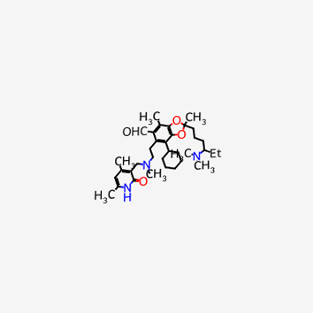 CCC(CCCC1(C)Oc2c(C)c(C=O)c(CCN(C)Cc3c(C)cc(C)[nH]c3=O)c(C3CCCCC3)c2O1)N(C)C